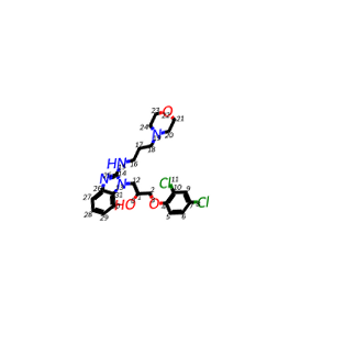 OC(COc1ccc(Cl)cc1Cl)Cn1c(NCCCN2CCOCC2)nc2ccccc21